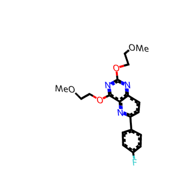 COCCOc1nc(OCCOC)c2nc(-c3ccc(F)cc3)ccc2n1